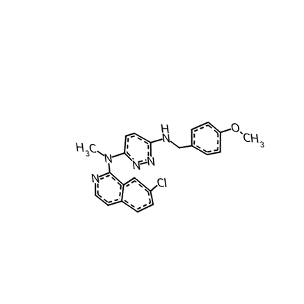 COc1ccc(CNc2ccc(N(C)c3nccc4ccc(Cl)cc34)nn2)cc1